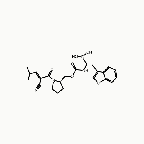 CC(C)/C=C(\C#N)C(=O)N1CCC[C@@H]1COC(=O)N[C@@H](Cc1coc2ccccc12)B(O)O